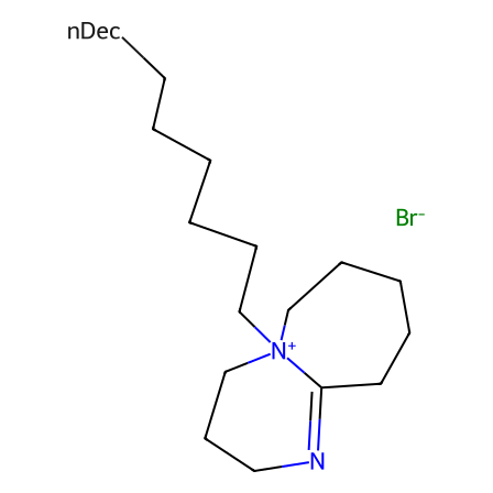 CCCCCCCCCCCCCCCC[N+]12CCCCCC1=NCCC2.[Br-]